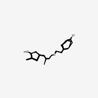 CC(CCSCCC1CC2CC1CC2S)CC1CC(C)C(S)C1